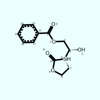 O=C(OC[C@H](O)[Si@@H]1CCOC1=O)c1ccccc1